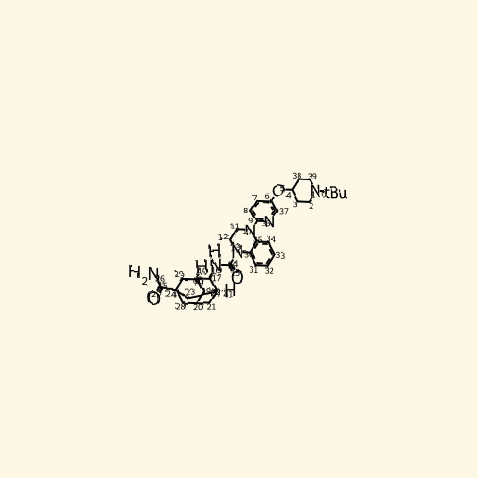 CC(C)(C)N1CCC(Oc2ccc(N3CCN(C(=O)NC4[C@@H]5CC6C[C@H]4CC(C(N)=O)(C6)C5)c4ccccc43)nc2)CC1